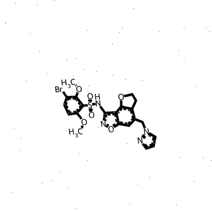 COc1ccc(Br)c(OC)c1S(=O)(=O)Nc1noc2cc(Cn3cccn3)c3c(c12)OCC3